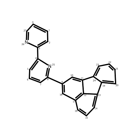 c1ccc(-c2cccc(-c3cc4c5c(cccc5c3)-c3ccccc3-4)n2)nc1